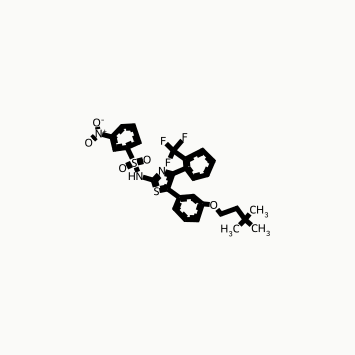 CC(C)(C)CCOc1cccc(-c2sc(NS(=O)(=O)c3cccc([N+](=O)[O-])c3)nc2-c2ccccc2C(F)(F)F)c1